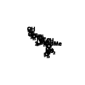 COc1cc(C(=O)N2CC3CCC2C3N)cc2nc(-c3cc4ccc(-c5ccc6c(c5)CC(CO)O6)nc4n3CC3CC3)n(C)c12